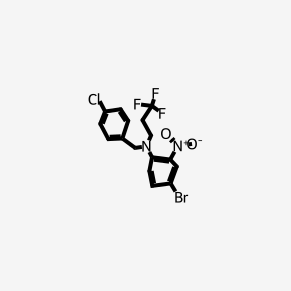 O=[N+]([O-])c1cc(Br)ccc1N(CCC(F)(F)F)Cc1ccc(Cl)cc1